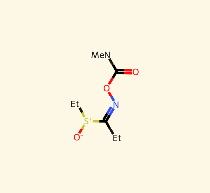 CCC(=NOC(=O)NC)[S+]([O-])CC